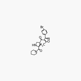 Cc1onc(-c2ccc(Br)cc2)c1C(=O)C1C=C(C(=O)N2CCCCC2)NC1